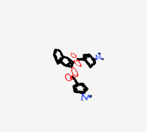 CN(C)c1ccc(C(=O)OC2C3CC(c4ccccc43)C2OC(=O)c2ccc(N(C)C)cc2)cc1